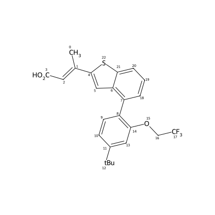 CC(=CC(=O)O)c1cc2c(-c3ccc(C(C)(C)C)cc3OCC(F)(F)F)cccc2s1